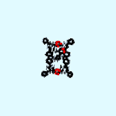 N#Cc1ccccc1-c1cc(-n2c3cc(-c4nc(-c5ccccc5)nc(-c5ccccc5)n4)ccc3c3ccc(-c4nc(-c5ccccc5)nc(-c5ccccc5)n4)cc32)ncc1-n1c2cc(-c3cc(-c4ccccc4)nc(-c4ccccc4)n3)ccc2c2ccc(-c3nc(-c4ccccc4)nc(-c4ccccc4)n3)cc21